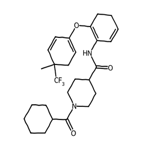 CC1(C(F)(F)F)C=CC(OC2=C(NC(=O)C3CCN(C(=O)C4CCCCC4)CC3)C=CCC2)=CC1